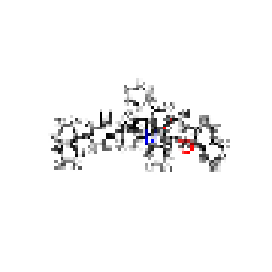 CC1(C)c2ccccc2-c2cccc(N(c3ccc(-c4ccc(-c5cccc6ccccc56)cc4)cc3)c3ccccc3-c3cccc4c3oc3c5ccccc5ccc43)c21